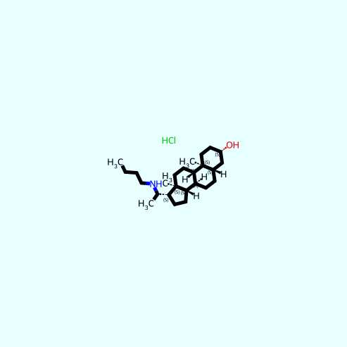 CCCCNC(C)[C@H]1CC[C@H]2[C@@H]3CC[C@H]4C[C@@H](O)CC[C@]4(C)[C@H]3CC[C@]12C.Cl